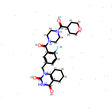 O=C(c1cc(Cn2c3c(c(=O)[nH]c2=O)CCCC3)ccc1F)N1CCN(C(=O)C2CCOCC2)CC1